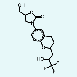 O=C1OC(CO)CN1c1ccc2c(c1)CCC(CC(O)C(F)(F)F)O2